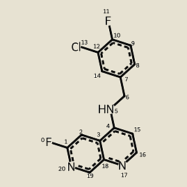 Fc1cc2c(NCc3ccc(F)c(Cl)c3)ccnc2cn1